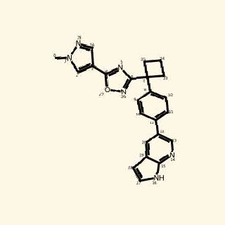 Cn1cc(-c2nc(C3(c4ccc(-c5cnc6[nH]ccc6c5)cc4)CCC3)no2)cn1